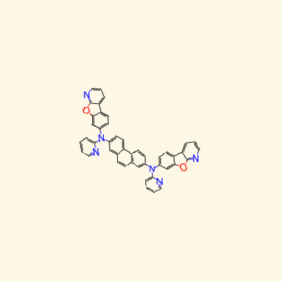 c1ccc(N(c2ccc3c(ccc4cc(N(c5ccc6c(c5)oc5ncccc56)c5ccccn5)ccc43)c2)c2ccc3c(c2)oc2ncccc23)nc1